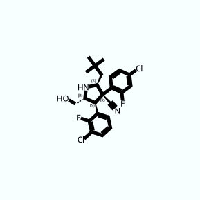 CC(C)(C)C[C@@H]1N[C@@H](CO)[C@H](c2cccc(Cl)c2F)[C@@]1(C#N)c1ccc(Cl)cc1F